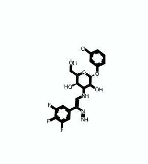 N=N/C(=C\NC1C(O)[C@@H](Oc2cccc(Cl)c2)OC(CO)[C@@H]1O)c1cc(F)c(F)c(F)c1